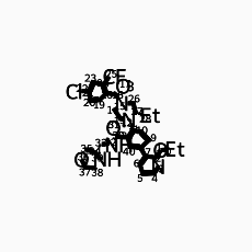 CCOc1ncccc1-c1ccc(N2CCN(C(=O)c3ccc(Cl)cc3C(F)(F)F)C[C@H]2CC)c(C(=O)NC[C@H]2COCCN2)c1